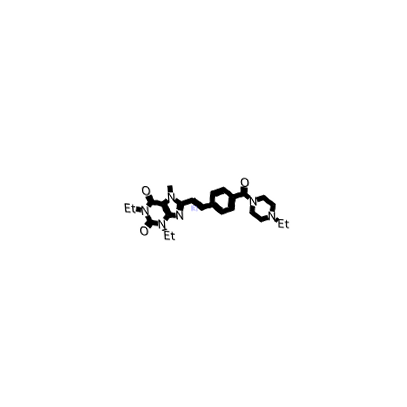 CCN1CCN(C(=O)c2ccc(/C=C/c3nc4c(c(=O)n(CC)c(=O)n4CC)n3C)cc2)CC1